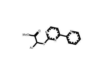 COC(=O)C(Sc1nccc(-c2ccccn2)n1)C(C)=O